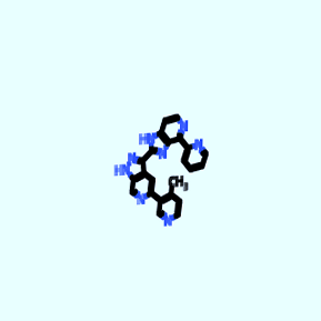 Cc1ccncc1-c1cc2c(-c3nc4c(-c5ccccn5)nccc4[nH]3)n[nH]c2cn1